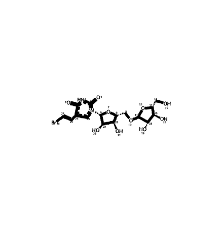 O=c1[nH]c(=O)n([C@@H]2O[C@H](COC3O[C@H](CO)[C@@H](O)[C@@H]3O)[C@@H](O)[C@H]2O)cc1C=CBr